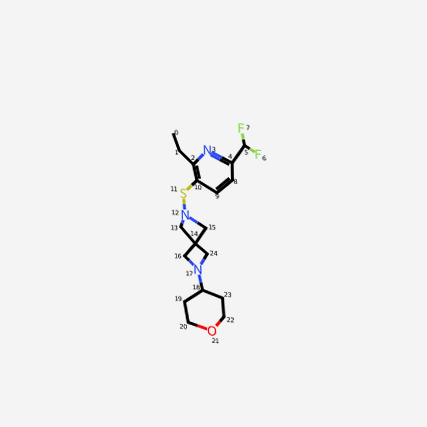 CCc1nc(C(F)F)ccc1SN1CC2(C1)CN(C1CCOCC1)C2